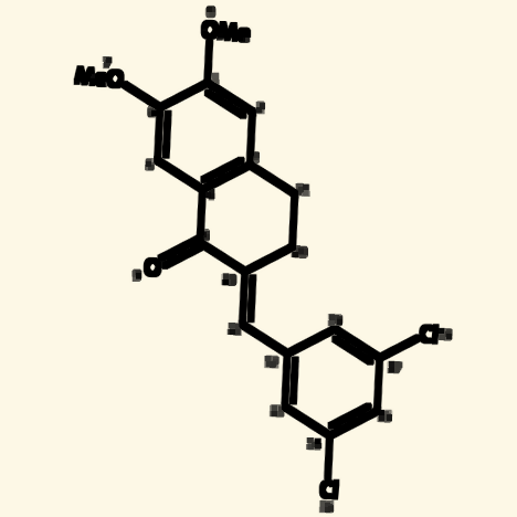 COc1cc2c(cc1OC)C(=O)C(=Cc1cc(Cl)cc(Cl)c1)CC2